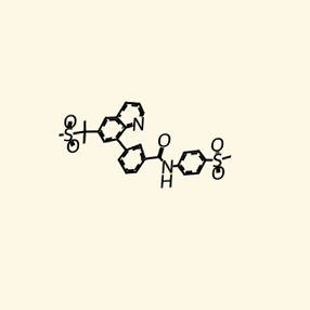 CC(C)(c1cc(-c2cccc(C(=O)Nc3ccc(S(C)(=O)=O)cc3)c2)c2ncccc2c1)S(C)(=O)=O